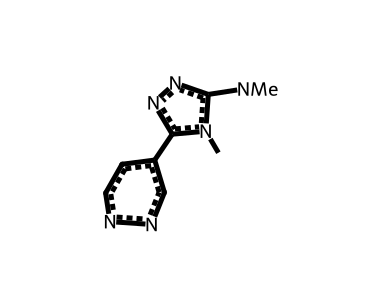 CNc1nnc(-c2ccnnc2)n1C